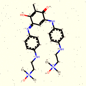 CC[N+]([O-])(CC)CCNc1ccc(/N=C2\C=C(Nc3ccc(NCC[N+]([O-])(CC)CC)cc3)C(=O)C(C)=C2O)cc1